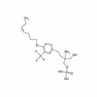 CC/C=C\CCCOc1ccc(CCC(N)(CO)COP(=O)(O)O)cc1C(F)(F)F